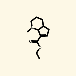 CCOC(=O)C1=CCC2CCCN(C)C12